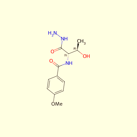 COc1ccc(C(=O)N[C@H](C(=O)NN)[C@@H](C)O)cc1